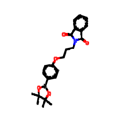 CC1(C)OB(c2ccc(OCCCN3C(=O)c4ccccc4C3=O)cc2)OC1(C)C